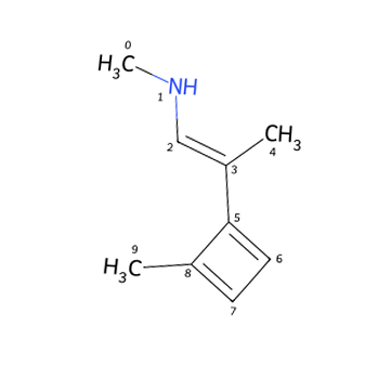 CNC=C(C)C1=CC=C1C